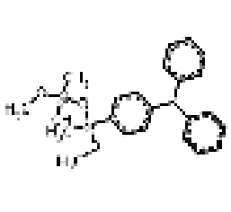 CO[Si](C)(C)O[Si](C)(OC)c1ccc(C(c2ccccc2)c2ccccc2)cc1